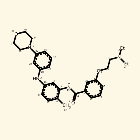 CCN(CC)CCOc1cccc(C(=O)Nc2cc(Nc3cccc(N4CCOCC4)c3)ccc2C)c1